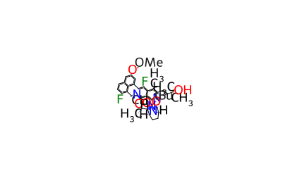 C#Cc1c(F)ccc2cc(OCOC)cc(-c3nc4c5c(nc(CCC(C)(C)O)c(C)c5c3F)N3C[C@H]5CC[C@@H]([C@H]3[C@H](C)O4)N5C(=O)OC(C)(C)C)c12